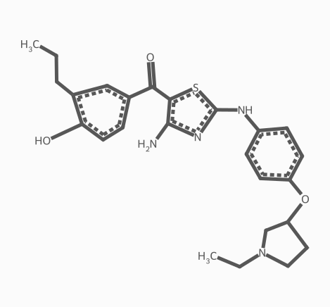 CCCc1cc(C(=O)c2sc(Nc3ccc(OC4CCN(CC)C4)cc3)nc2N)ccc1O